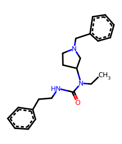 CCN(C(=O)NCCc1ccccc1)C1CCN(Cc2ccccc2)C1